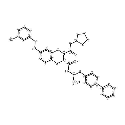 N#Cc1cccc(COc2ccc3c(c2)CN(C(=O)CC2CCCC2)[C@H](C(=O)N[C@@H](Cc2ccc(-c4ccccc4)cc2)C(=O)O)C3)c1